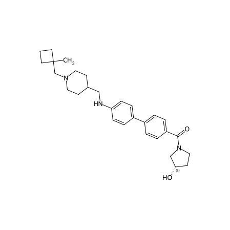 CC1(CN2CCC(CNc3ccc(-c4ccc(C(=O)N5CC[C@H](O)C5)cc4)cc3)CC2)CCC1